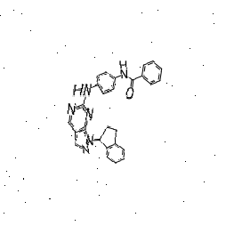 O=C(Nc1ccc(Nc2ncc3cnn(C4CCc5ccccc54)c3n2)cc1)c1ccccc1